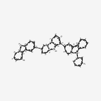 c1ccc(-n2c3ccccc3c3cc(-c4cccc5c4oc4ccc(-c6ccc7oc8ccccc8c7c6)cc45)ccc32)cc1